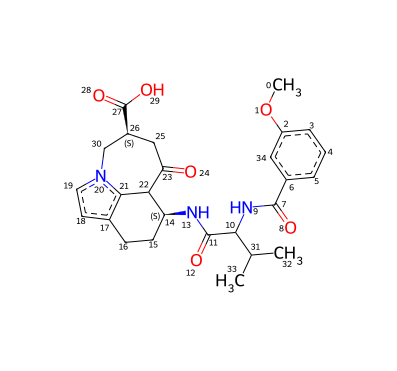 COc1cccc(C(=O)NC(C(=O)N[C@H]2CCc3ccn4c3C2C(=O)C[C@H](C(=O)O)C4)C(C)C)c1